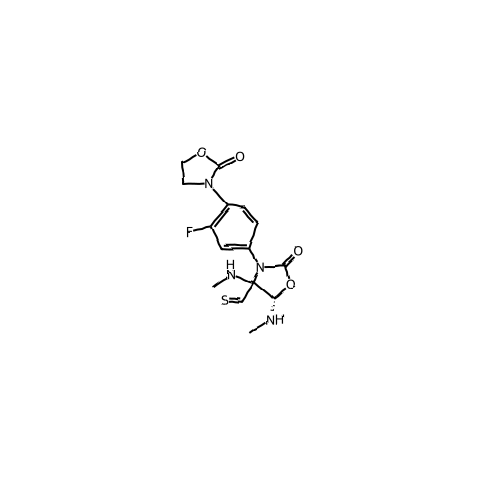 CN[C@H]1OC(=O)N(c2ccc(N3CCOC3=O)c(F)c2)C1(C=S)NC